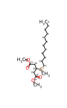 CCCCCCCCCCCC[S+](C)C(CC(=O)OC)CC(=O)OC